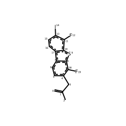 C=C(C)Cc1ccc2c(sc3c(F)c(I)ccc32)c1F